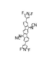 N#C/N=c1\c2cc(-c3cc(F)nc(F)c3)ccc2c2cc3/c(=N/C#N)c4cc(-c5cc(F)nc(F)c5)ccc4c3cc12